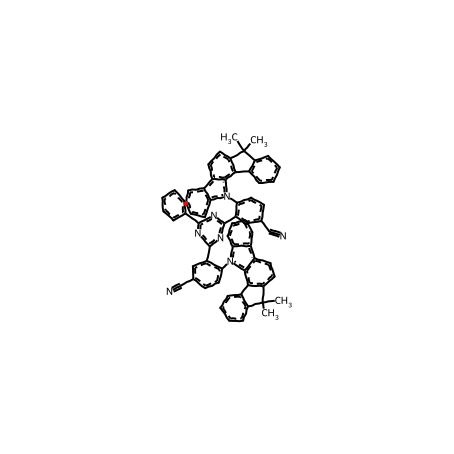 CC1(C)c2ccccc2-c2c1ccc1c3ccccc3n(-c3ccc(C#N)cc3-c3nc(-c4ccccc4)nc(-c4cc(C#N)ccc4-n4c5ccccc5c5ccc6c(c54)-c4ccccc4C6(C)C)n3)c21